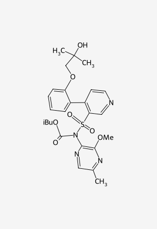 COc1nc(C)cnc1N(C(=O)OCC(C)C)S(=O)(=O)c1cnccc1-c1ccccc1OCC(C)(C)O